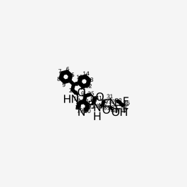 O=C(CC(c1ccccc1)c1ccccc1)Nc1cncc(F)c1CC[C@@H]1CNC[C@@H](CN(CC(F)(F)F)C(=O)O)O1